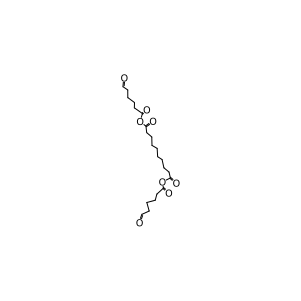 O=CCCCCC(=O)OC(=O)CCCCCCCCC(=O)OC(=O)CCCCC=O